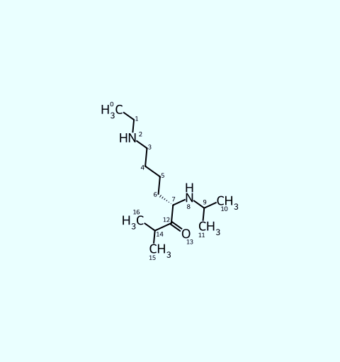 CCNCCCC[C@H](NC(C)C)C(=O)C(C)C